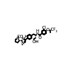 C[C@@H](Oc1ccc(C(=O)N[C@H](CCO)Cc2ccc(-c3cn(C)c([C@H]4CCCN4C(=O)O)n3)cc2)cc1Cl)C(F)(F)F